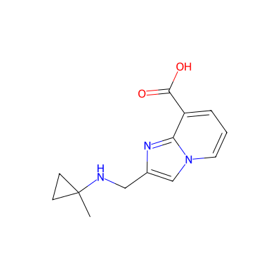 CC1(NCc2cn3cccc(C(=O)O)c3n2)CC1